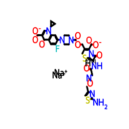 Nc1nc(CON=CC(=O)N[C@@H]2C(=O)N3C(C(=O)[O-])=C(COC(=O)N4CCN(c5cc6c(cc5F)c(=O)c(C(=O)[O-])cn6C5CC5)CC4)CS[C@H]23)cs1.[Na+].[Na+]